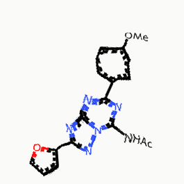 COc1ccc(-c2nc(NC(C)=O)n3nc(-c4ccco4)nc3n2)cc1